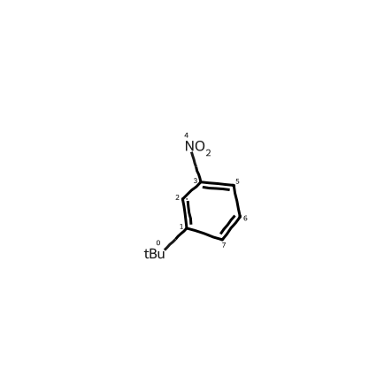 CC(C)(C)c1[c]c([N+](=O)[O-])ccc1